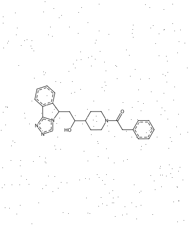 O=C(Cc1ccccc1)N1CCC(C(O)CC2c3ccccc3-c3nncn32)CC1